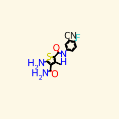 Cc1c(C(=O)Nc2ccc(F)c(C#N)c2)sc(N)c1C(N)=O